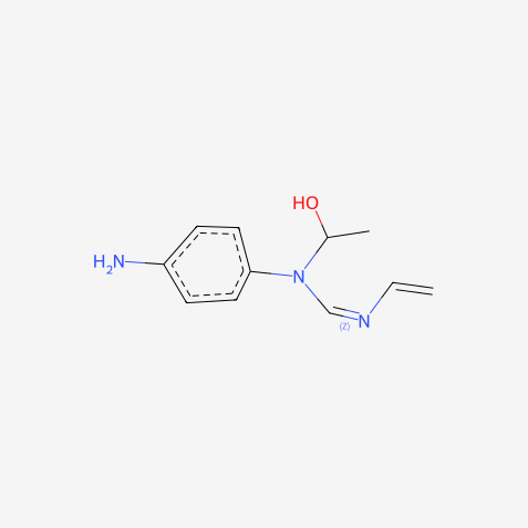 C=C/N=C\N(c1ccc(N)cc1)C(C)O